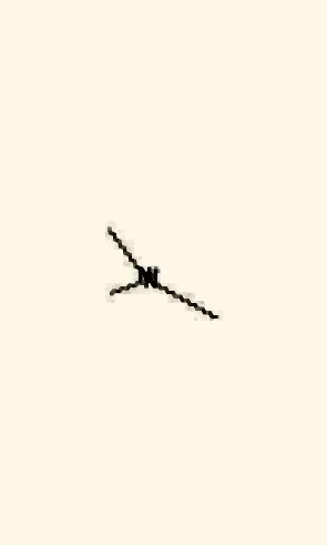 CCCCCCCCCCCCCCCCCCn1cc[n+](CCCCCCCCCCCCCC)c1CCCCCCCCC